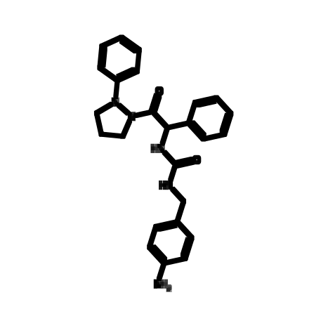 Nc1ccc(CNC(=O)NC(C(=O)N2CCCN2c2ccccc2)c2ccccc2)cc1